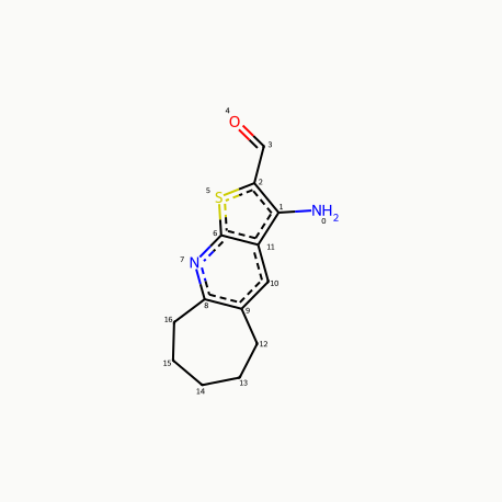 Nc1c(C=O)sc2nc3c(cc12)CCCCC3